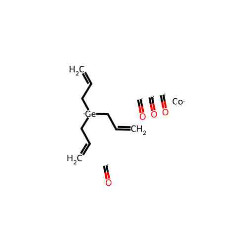 C=C[CH2][Ge]([CH2]C=C)[CH2]C=C.[C]=O.[C]=O.[C]=O.[C]=O.[Co]